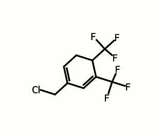 FC(F)(F)C1=CC(CCl)=CCC1C(F)(F)F